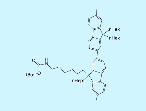 CCCCCCCC1(CCCCCCNC(=O)OC(C)(C)C)c2cc(C)ccc2-c2ccc(-c3ccc4c(c3)C(CCCCCC)(CCCCCC)c3cc(C)ccc3-4)cc21